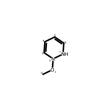 CON1C=[C]C=CN1